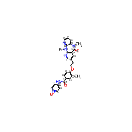 CCN1c2ncc(CCOc3ccc(C(=O)Nc4cc[n+]([O-])cc4)cc3C)cc2C(=O)N(C)c2cccnc21